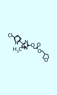 Cn1nc(OCC(=O)OCC2CCOC2)nc1-c1ccc(Cl)cn1